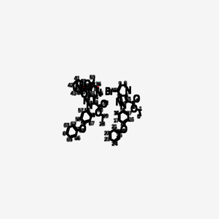 CCOC(=O)c1c2nccc(Br)c2nn1-c1ccc(Oc2ccccc2)cc1.CCOC(=O)c1c2nccc(N3CC4CC(C3)N4C(=O)OC(C)(C)C)c2nn1-c1ccc(Oc2ccccc2)cc1